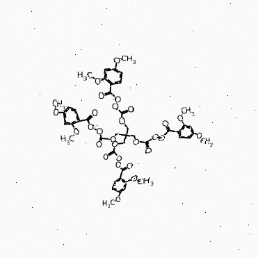 COc1ccc(C(=O)OOC(=O)OCC(COC(=O)OOC(=O)c2ccc(OC)cc2OC)(COC(=O)OOC(=O)c2ccc(OC)cc2OC)COC(=O)OOC(=O)c2ccc(OC)cc2OC)c(OC)c1